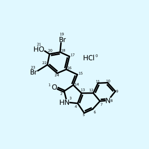 Cl.O=C1Nc2ccc3ncccc3c2C1=Cc1cc(Br)c(O)c(Br)c1